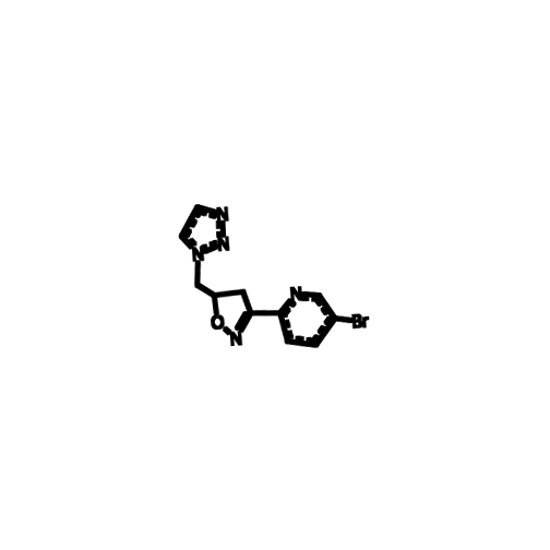 Brc1ccc(C2=NOC(Cn3ccnn3)C2)nc1